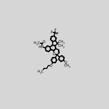 CCCCOc1ccc(C2(c3ccc(OC)cc3)C=Cc3c4c(c5cc(NC(C)=O)ccc5c3O2)-c2ccc(C(F)(F)F)cc2C4(C)C)cc1